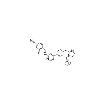 N#Cc1ccc(COc2nccc(C3=CCC(CC4=NCCN4C[C@@H]4CCO4)CC3)n2)c(F)c1